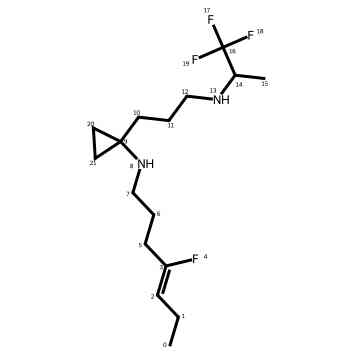 CC/C=C(\F)CCCNC1(CCCNC(C)C(F)(F)F)CC1